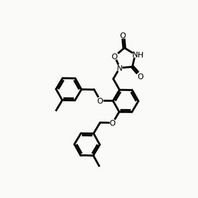 Cc1cccc(COc2cccc(Cn3oc(=O)[nH]c3=O)c2OCc2cccc(C)c2)c1